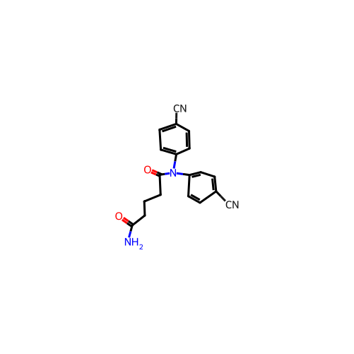 N#Cc1ccc(N(C(=O)CCCC(N)=O)c2ccc(C#N)cc2)cc1